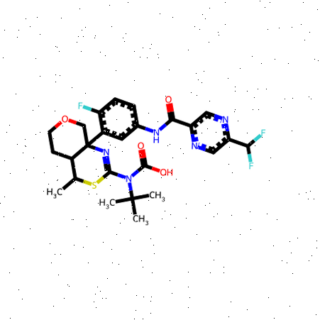 CC1SC(N(C(=O)O)C(C)(C)C)=NC2(c3cc(NC(=O)c4cnc(C(F)F)cn4)ccc3F)COCCC12